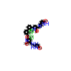 COc1nc(-c2cccc(-c3cccc(COc4nc(OC)c(CNC[C@H]5CCC(=O)N5)cc4Cl)c3Cl)c2Cl)ccc1CN1CC2(CCC(=O)N2)C1